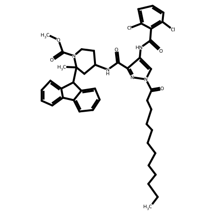 CCCCCCCCCCCC(=O)n1cc(NC(=O)c2c(Cl)cccc2Cl)c(C(=O)NC2CCN(C(=O)OC)C(C)(C3c4ccccc4-c4ccccc43)C2)n1